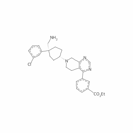 CCOC(=O)c1cccc(-c2ncnc3c2CCN([C@H]2CC[C@](CN)(c4cccc(Cl)c4)CC2)C3)c1